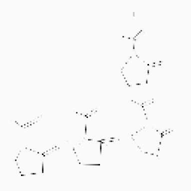 O=C([O-])N1CCCC1=O.O=C([O-])N1CCCC1=O.O=C([O-])N1CCCC1=O.O=C([O-])N1CCCC1=O.[Ti+4]